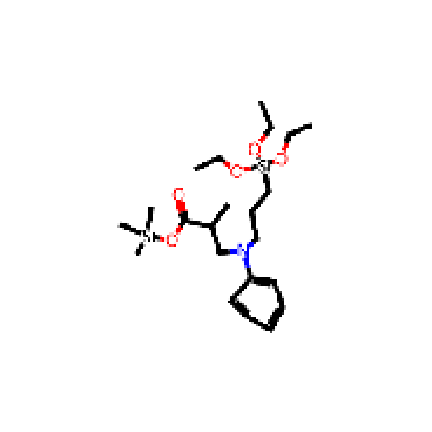 CCO[Si](CCCN(CC(C)C(=O)O[Si](C)(C)C)c1ccccc1)(OCC)OCC